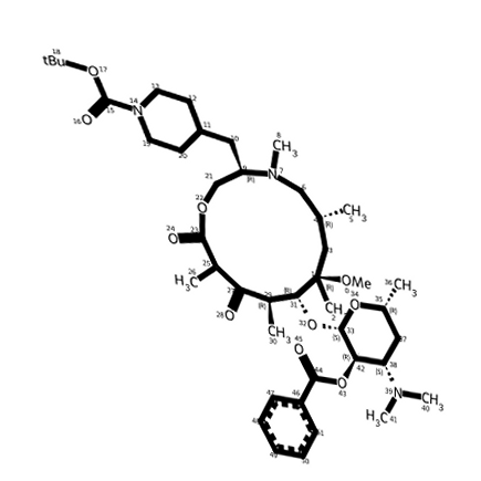 CO[C@]1(C)C[C@@H](C)CN(C)[C@H](CC2CCN(C(=O)OC(C)(C)C)CC2)COC(=O)C(C)C(=O)[C@H](C)[C@H]1O[C@@H]1O[C@H](C)C[C@H](N(C)C)[C@H]1OC(=O)c1ccccc1